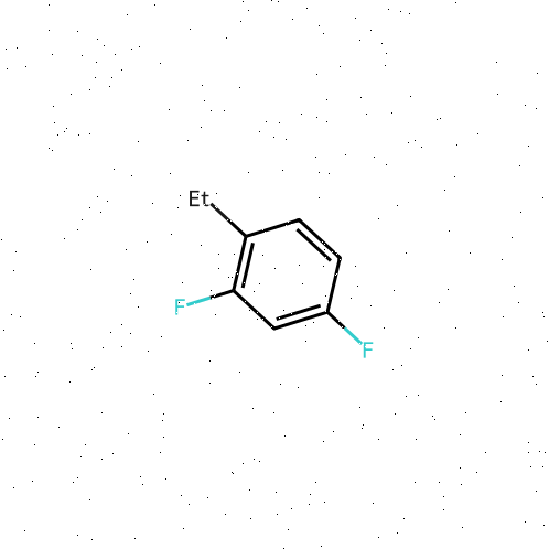 CCc1ccc(F)cc1F